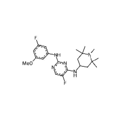 COc1cc(F)cc(Nc2ncc(F)c(NC3CC(C)(C)N(C)C(C)(C)C3)n2)c1